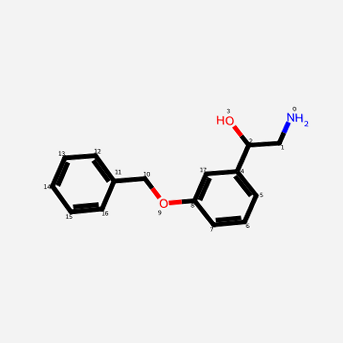 NCC(O)c1cccc(OCc2ccccc2)c1